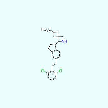 O=C(O)C1CC2(CNC2C2CCc3cc(CCc4c(Cl)cccc4Cl)ccc32)C1